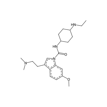 CCNC1CCC(NC(=O)n2cc(CCN(C)C)c3ccc(OC)cc32)CC1